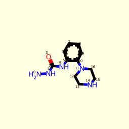 NNC(=O)Nc1ccccc1N1CCNCC1